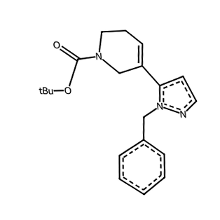 CC(C)(C)OC(=O)N1CCC=C(c2ccnn2Cc2ccccc2)C1